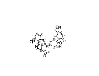 N#CCc1ccc(F)c(C2(O)CCC(OCc3c(-c4c(Cl)cccc4Cl)noc3C3CC3)CC2)c1